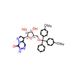 COc1ccc(C(OC[C@H]2O[C@@H](c3cnn4c(=O)[nH]ncc34)[C@H](O)[C@@H]2O)(c2ccccc2)c2ccc(OC)cc2)cc1